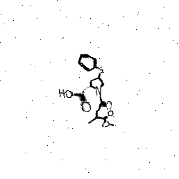 COC(=O)C(C)CC(=O)N1CC(Sc2ccccc2)C[C@H]1C(=O)O